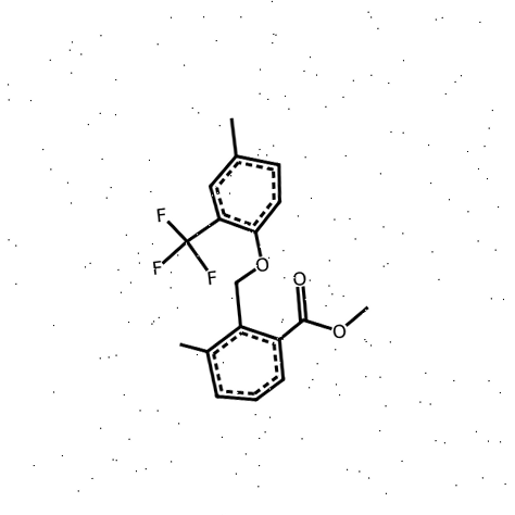 COC(=O)c1cccc(C)c1COc1ccc(C)cc1C(F)(F)F